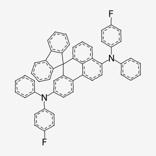 Fc1ccc(N(c2ccccc2)c2ccc3c(c2)C2(c4ccccc4-c4ccccc42)c2cccc4c(N(c5ccccc5)c5ccc(F)cc5)ccc-3c24)cc1